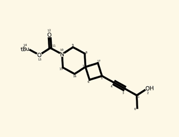 CC(O)C#CC1CC2(CCN(C(=O)OC(C)(C)C)CC2)C1